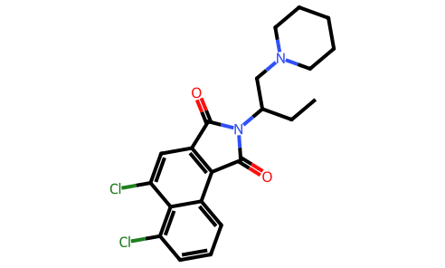 CCC(CN1CCCCC1)N1C(=O)c2cc(Cl)c3c(Cl)cccc3c2C1=O